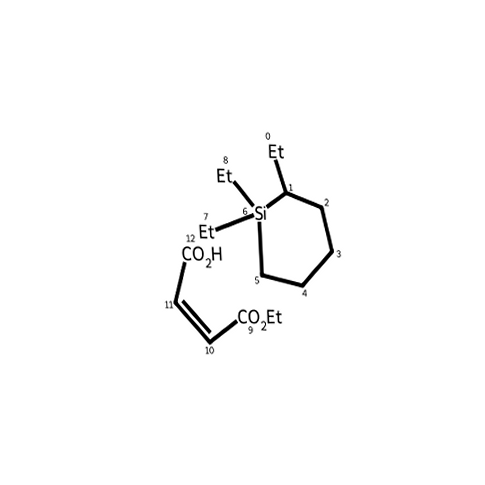 CCC1CCCC[Si]1(CC)CC.CCOC(=O)/C=C\C(=O)O